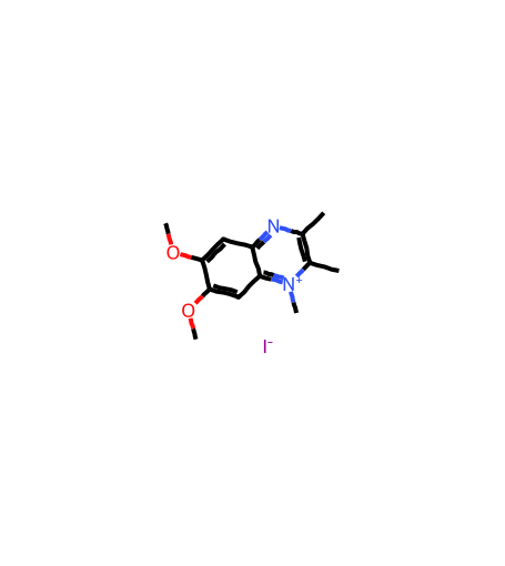 COc1cc2nc(C)c(C)[n+](C)c2cc1OC.[I-]